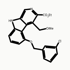 CCOC(=O)c1ncc2[nH]c3cccc(OCc4cccc(Cl)c4)c3c2c1COC